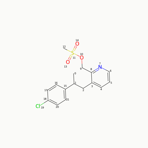 CC(Cc1cccnc1COS(C)(=O)=O)c1ccc(Cl)cc1